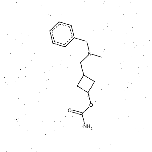 CN(Cc1ccccc1)CC1CC(OC(N)=O)C1